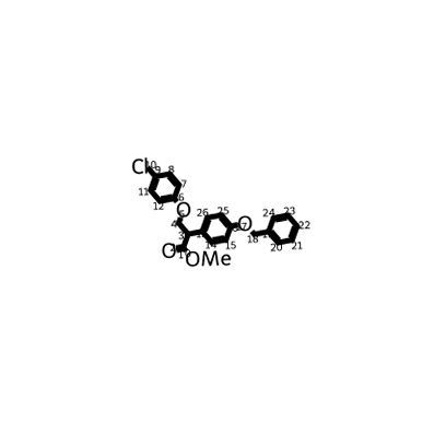 COC(=O)C(COc1ccc(Cl)cc1)c1ccc(OCc2ccccc2)cc1